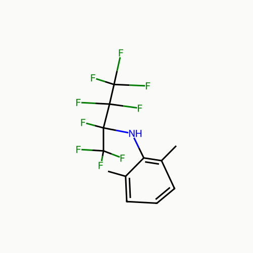 Cc1cccc(C)c1NC(F)(C(F)(F)F)C(F)(F)C(F)(F)F